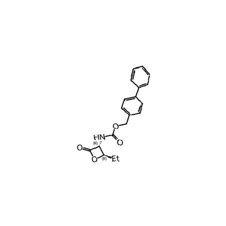 CC[C@H]1OC(=O)[C@@H]1NC(=O)OCc1ccc(-c2ccccc2)cc1